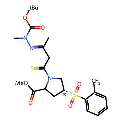 COC(=O)C1C[C@@H](S(=O)(=O)c2ccccc2C(F)(F)F)CN1C(=S)CC(C)=NN(C)C(=O)OC(C)(C)C